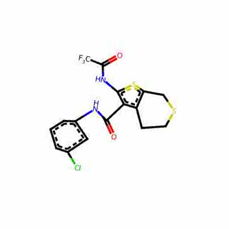 O=C(Nc1cccc(Cl)c1)c1c(NC(=O)C(F)(F)F)sc2c1CCSC2